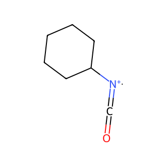 O=C=[N+]C1CCCCC1